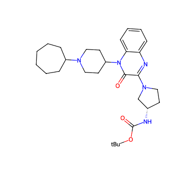 CC(C)(C)OC(=O)N[C@H]1CCN(c2nc3ccccc3n(C3CCN(C4CCCCCC4)CC3)c2=O)C1